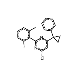 Cc1cccc(C)c1-c1nc(Cl)cc(C2(c3ccccc3)CC2)n1